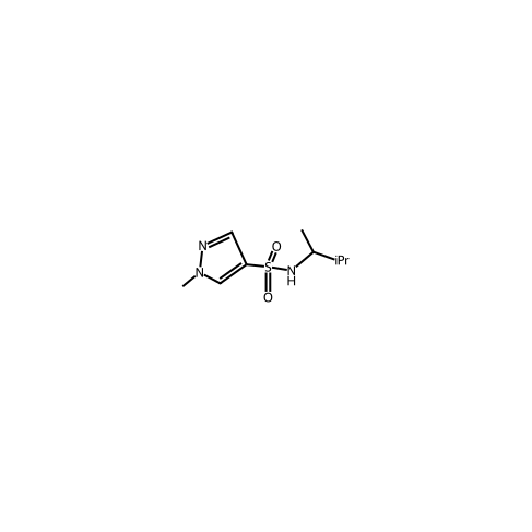 CC(C)C(C)NS(=O)(=O)c1cnn(C)c1